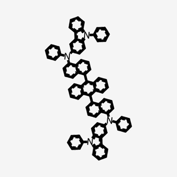 c1ccc(N(c2ccc3c(c2)c2ccccc2n3-c2ccccc2)c2cccc3c(-c4c5ccccc5c(-c5cccc6c(N(c7ccccc7)c7ccc8c(c7)c7ccccc7n8-c7ccccc7)cccc56)c5ccccc45)cccc23)cc1